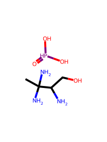 CC(N)(N)C(N)CO.O=[PH](O)O